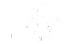 NCCO.O=S(=O)(O)C(F)(F)C(F)(F)C(F)(F)C(F)(F)F